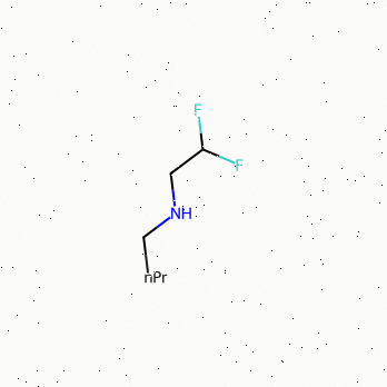 [CH2]CCCNCC(F)F